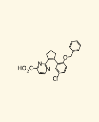 O=C(O)c1ccnc(C2=C(c3cc(Cl)ccc3OCc3ccccc3)CCC2)n1